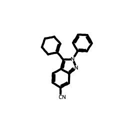 N#Cc1ccc2c(C3=CCCCC3)n(-c3ccccc3)nc2c1